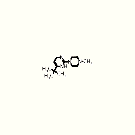 CN1CCN(C2=NCC=C(C(C)(C)C)N2)CC1